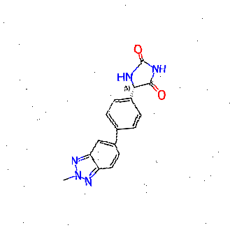 Cn1nc2ccc(-c3ccc([C@@H]4NC(=O)NC4=O)cc3)cc2n1